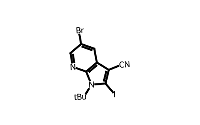 CC(C)(C)n1c(I)c(C#N)c2cc(Br)cnc21